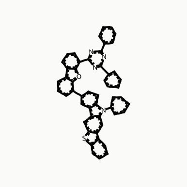 c1ccc(-c2nc(-c3ccccc3)nc(-c3cccc4c3oc3c(-c5ccc6c(c5)c5cc7sc8ccccc8c7cc5n6-c5ccccc5)cccc34)n2)cc1